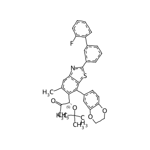 CC(=O)[C@@H](OC(C)(C)C)c1c(C)cc2nc(-c3cccc(-c4ccccc4F)c3)sc2c1-c1ccc2c(c1)OCCO2